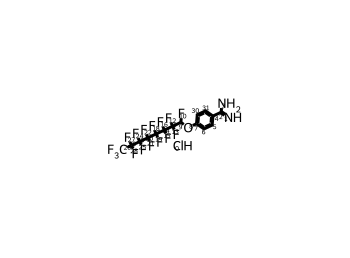 Cl.N=C(N)c1ccc(OC(F)C(F)(F)C(F)(F)C(F)(F)C(F)(F)C(F)(F)C(F)(F)C(F)(F)F)cc1